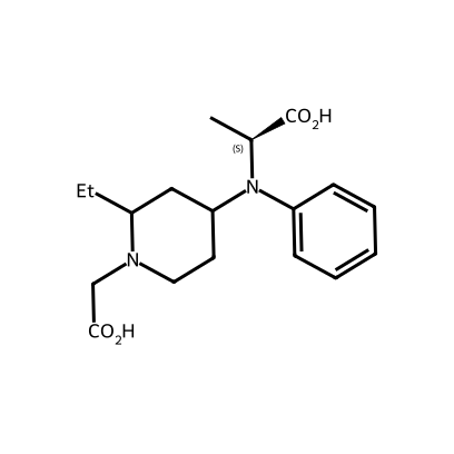 CCC1CC(N(c2ccccc2)[C@@H](C)C(=O)O)CCN1CC(=O)O